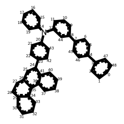 c1ccc(-c2ccc(-c3cccc(N(c4ccccc4)c4ccc(-c5cc6ccc7ccccc7c6c6ccccc56)cc4)c3)cc2)cc1